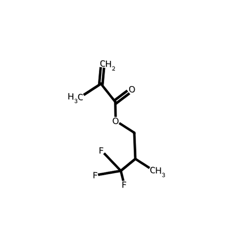 C=C(C)C(=O)OCC(C)C(F)(F)F